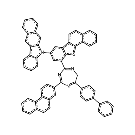 c1ccc(-c2ccc(C3=NC(c4ccc5c(ccc6ccccc65)c4)=NC(c4cc(-n5c6ccccc6c6cc7ccccc7cc65)cc5c4sc4c6ccccc6ccc54)=NC3)cc2)cc1